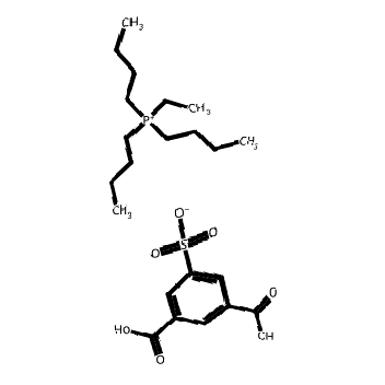 CCCC[P+](CC)(CCCC)CCCC.O=C(O)c1cc(C(=O)O)cc(S(=O)(=O)[O-])c1